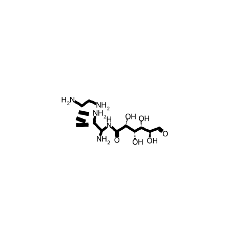 C=C.C=C.C=C.NCC(N)NC(=O)[C@H](O)[C@@H](O)[C@H](O)[C@H](O)C=O.NCCN